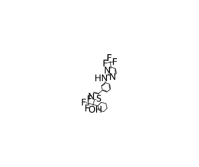 OC(c1ncc(-c2cccc(Nc3nccc(C(F)(F)F)n3)c2)s1)(C1CCCCC1)C(F)(F)F